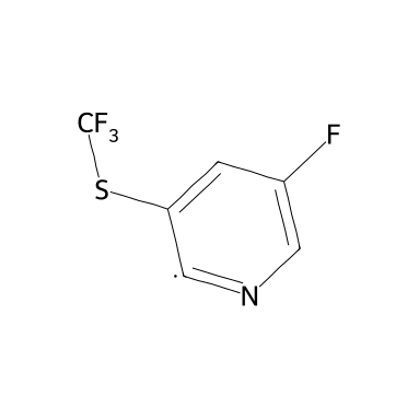 Fc1cn[c]c(SC(F)(F)F)c1